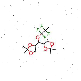 CC1(C)OCC(C(OC(F)(F)C(C)(F)F)C2COC(C)(C)O2)O1